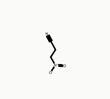 N#CCC[N+](=O)[O-]